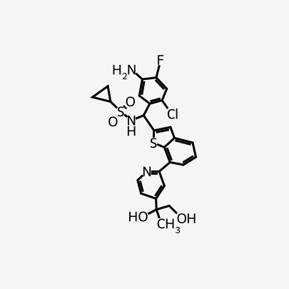 CC(O)(CO)c1ccnc(-c2cccc3cc(C(NS(=O)(=O)C4CC4)c4cc(N)c(F)cc4Cl)sc23)c1